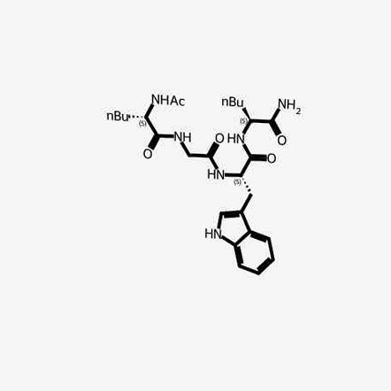 CCCC[C@H](NC(=O)[C@H](Cc1c[nH]c2ccccc12)NC(=O)CNC(=O)[C@H](CCCC)NC(C)=O)C(N)=O